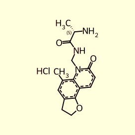 Cc1cc2c(c3ccc(=O)n(CNC(=O)[C@H](C)N)c13)OCC2.Cl